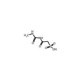 CNC(=O)NC(=O)CS(=O)(=O)O